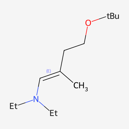 CCN(/C=C(\C)CCOC(C)(C)C)CC